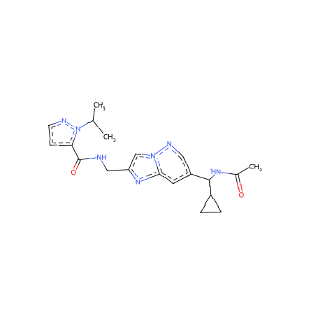 CC(=O)NC(c1cnn2cc(CNC(=O)c3ccnn3C(C)C)nc2c1)C1CC1